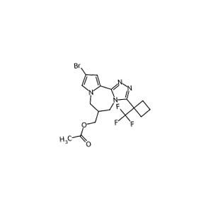 CC(=O)OCC1Cn2cc(Br)cc2-c2nnc(C3(C(F)(F)F)CCC3)n2C1